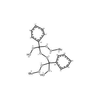 CC(C)(C)OOC(OO)(OOC(OO)(OOC(C)(C)C)c1ccccc1)c1ccccc1